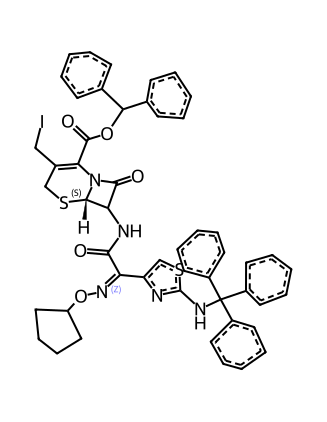 O=C(OC(c1ccccc1)c1ccccc1)C1=C(CI)CS[C@H]2C(NC(=O)/C(=N\OC3CCCC3)c3csc(NC(c4ccccc4)(c4ccccc4)c4ccccc4)n3)C(=O)N12